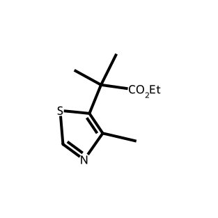 CCOC(=O)C(C)(C)c1scnc1C